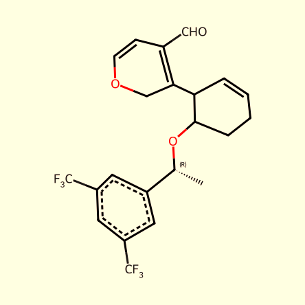 C[C@@H](OC1CCC=CC1C1=C(C=O)C=COC1)c1cc(C(F)(F)F)cc(C(F)(F)F)c1